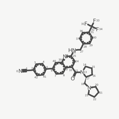 N#Cc1ccc(-c2ccc3c(C(=O)N4CCC[C@H]4CN4CCCC4)cc(NCc4ccc(C(F)(F)F)cc4)nc3c2)cc1